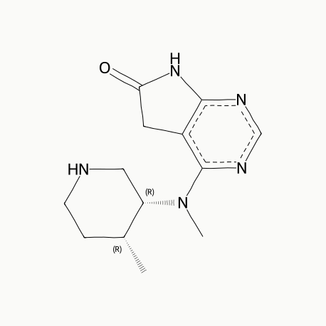 C[C@@H]1CCNC[C@@H]1N(C)c1ncnc2c1CC(=O)N2